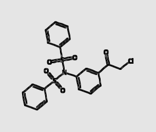 O=C(CCl)c1cccc(N(S(=O)(=O)c2ccccc2)S(=O)(=O)c2ccccc2)c1